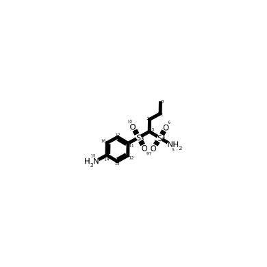 CCCC(S(N)(=O)=O)S(=O)(=O)c1ccc(N)cc1